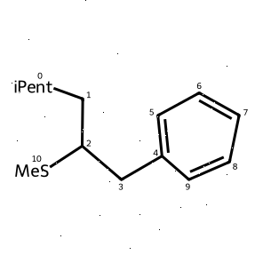 CCCC(C)CC(Cc1ccccc1)SC